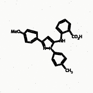 COc1ccc(-c2cc(Nc3ccccc3C(=O)O)n(-c3ccc(C)cc3)n2)cc1